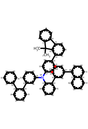 CC1(C)c2ccccc2-c2cccc(-c3ccc(N(c4cccc(-c5ccccc5-c5ccccc5)c4)c4ccccc4-c4cccc(-c5cccc6ccccc56)c4)cc3)c21